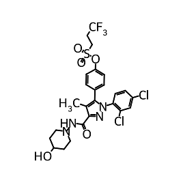 Cc1c(C(=O)NN2CCC(O)CC2)nn(-c2ccc(Cl)cc2Cl)c1-c1ccc(OS(=O)(=O)CCC(F)(F)F)cc1